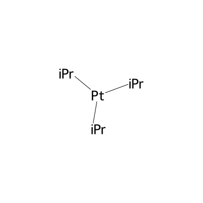 C[CH](C)[Pt]([CH](C)C)[CH](C)C